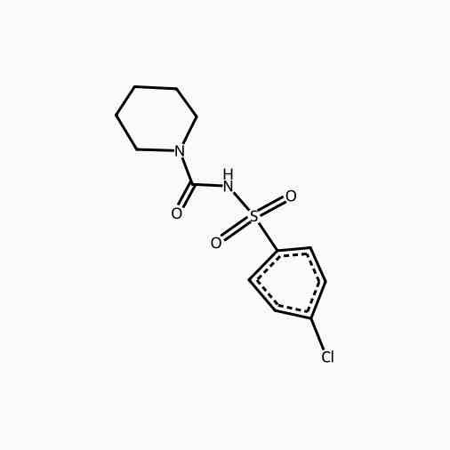 O=C(NS(=O)(=O)c1ccc(Cl)cc1)N1CCCCC1